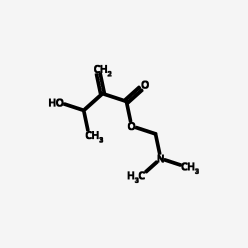 C=C(C(=O)OCN(C)C)C(C)O